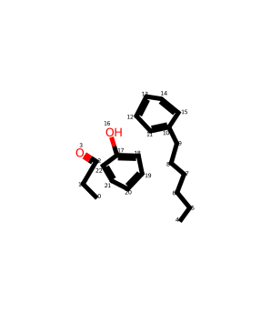 CCC=O.CCCCCCc1ccccc1.Oc1ccccc1